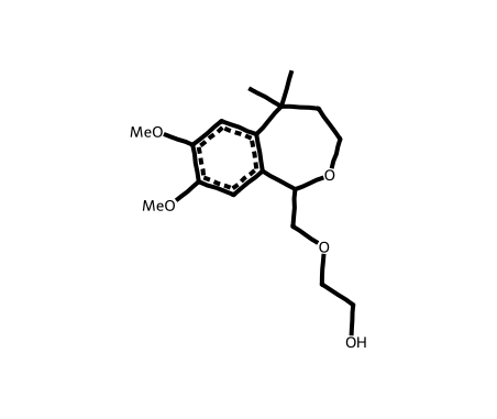 COc1cc2c(cc1OC)C(C)(C)CCOC2COCCO